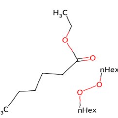 CCCCCC(=O)OCC.CCCCCCOOCCCCCC